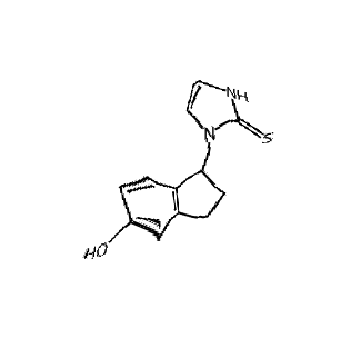 Oc1ccc2c(c1)CCC2n1cc[nH]c1=S